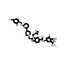 Cc1n[nH]c2c(F)cc(NC(=O)c3ccc4nc(CN5CC=C(c6cccc(OCc7ccc(Cl)cc7F)n6)CC5)n(CC5CCO5)c4c3)cc12